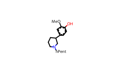 CCCCCN1CCCC(c2ccc(O)c(OC)c2)C1